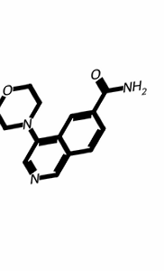 NC(=O)c1ccc2cncc(N3CCOCC3)c2c1